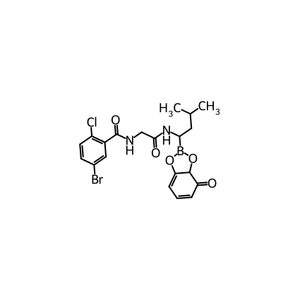 CC(C)CC(NC(=O)CNC(=O)c1cc(Br)ccc1Cl)B1OC2=CC=CC(=O)C2O1